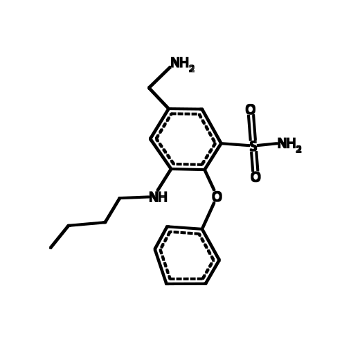 CCCCNc1cc(CN)cc(S(N)(=O)=O)c1Oc1ccccc1